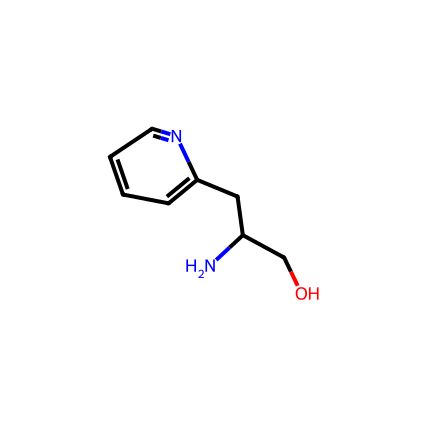 NC(CO)Cc1ccccn1